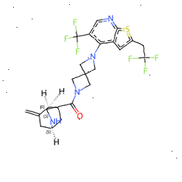 C=C1C[C@@H]2CC[C@H]1[C@@H](C(=O)N1CC3(C1)CN(c1c(C(F)(F)F)cnc4sc(CC(F)(F)F)cc14)C3)N2